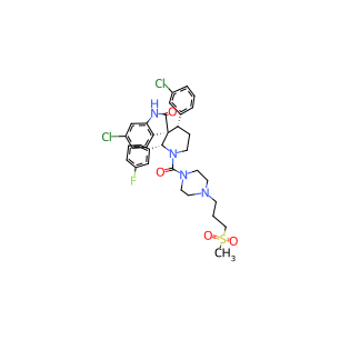 CS(=O)(=O)CCCN1CCN(C(=O)N2CC[C@@H](c3cccc(Cl)c3)[C@]3(C(=O)Nc4cc(Cl)ccc43)[C@H]2c2cccc(F)c2)CC1